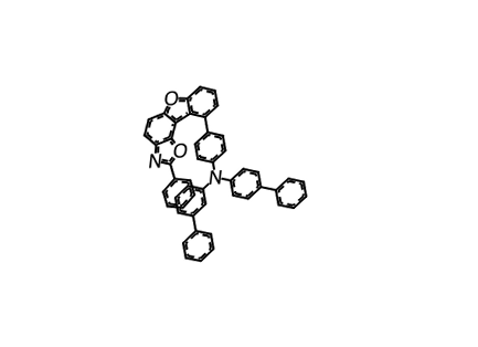 c1ccc(-c2ccc(N(c3ccc(-c4cccc5oc6ccc7nc(-c8ccccc8)oc7c6c45)cc3)c3cccc(-c4ccccc4)c3)cc2)cc1